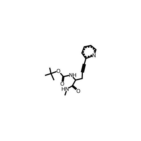 CNC(=O)C(CC#Cc1ccccn1)NC(=O)OC(C)(C)C